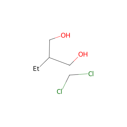 CCC(CO)CO.ClCCl